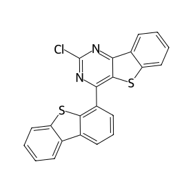 Clc1nc(-c2cccc3c2sc2ccccc23)c2sc3ccccc3c2n1